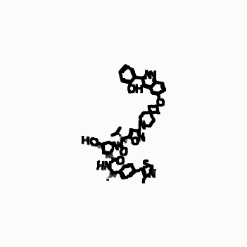 Cc1ncsc1-c1ccc([C@H](C)NC(=O)[C@@H]2C[C@@H](O)CN2C(=O)[C@@H](c2cc(N3CCC4(CC3)CC(Oc3ccc5nnc(-c6ccccc6O)cc5c3)C4)no2)C(C)C)cc1